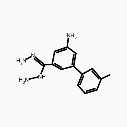 Cc1cccc(-c2cc(N)cc(/C(=N/N)NN)c2)c1